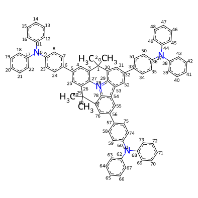 CC1(C)c2cc(-c3ccc(N(c4ccccc4)c4ccccc4)cc3)cc3c2-n2c4c1cc(-c1ccc(N(c5ccccc5)c5ccccc5)cc1)cc4c1cc(-c4ccc(N(c5ccccc5)c5ccccc5)cc4)cc(c12)C3(C)C